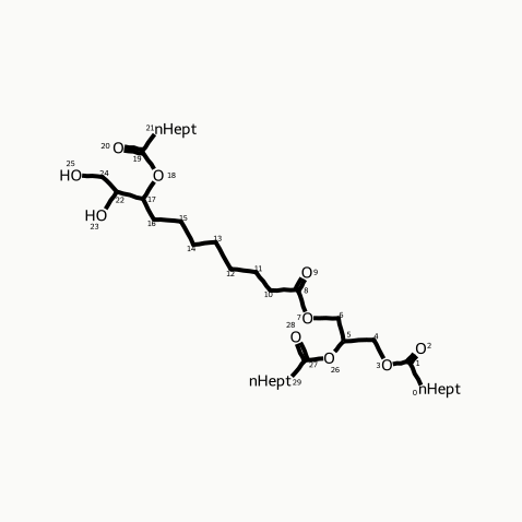 CCCCCCCC(=O)OCC(COC(=O)CCCCCCCC(OC(=O)CCCCCCC)C(O)CO)OC(=O)CCCCCCC